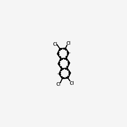 Clc1[c]c2cc3cc(Cl)c(Cl)[c]c3cc2cc1Cl